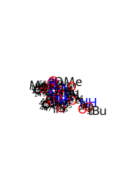 COP(=O)(OC)C1(NC(=O)OCc2ccccc2)CCN(C(=O)[C@@H](CCCCNC(=O)OC(C)(C)C)NC(=O)[C@@H](CC(C)C)NC(=O)[C@@H](Cc2ccccc2)NC(=O)[C@@H](Cc2ccccc2)NC(=O)OC(C)(C)C)CC1